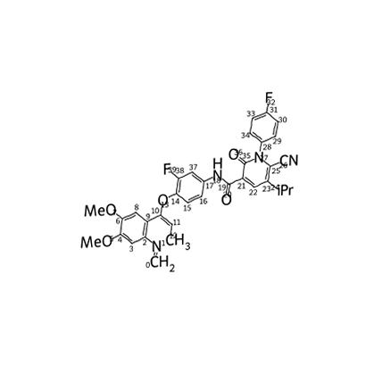 C=Nc1cc(OC)c(OC)cc1/C(=C\C)Oc1ccc(NC(=O)c2cc(C(C)C)c(C#N)n(-c3ccc(F)cc3)c2=O)cc1F